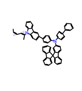 C/C=C\C=C(/C)n1c2ccccc2c2cc(-c3ccc(N(c4ccc(-c5ccccc5)cc4)c4ccc5c(c4)C4(c6ccccc6-c6ccccc64)c4ccccc4-5)cc3)ccc21